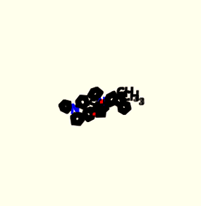 CC1(C)c2ccccc2-c2cc(N(c3ccccc3)c3ccccc3[Si](c3ccccc3)(c3ccccc3)C3C=CC=C(N(c4ccccc4)c4ccccc4)C3)ccc21